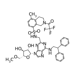 COC[C@H]1O[C@@H](n2cnc3c(NCC(c4ccccc4)c4ccccc4)nc(CNS(=O)(=O)c4ccc(C)c5c4CN(C(=O)C(F)(F)F)CC5)nc32)[C@@H](O)[C@@H]1O